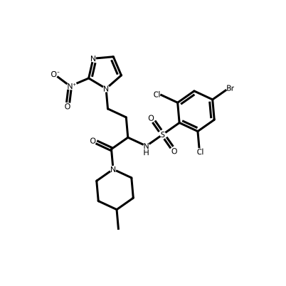 CC1CCN(C(=O)C(CCn2ccnc2[N+](=O)[O-])NS(=O)(=O)c2c(Cl)cc(Br)cc2Cl)CC1